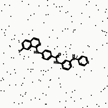 O=C(Nc1cccc(Nc2ccncc2)c1)c1ccc(Nc2nccc3ccc(F)cc23)cc1